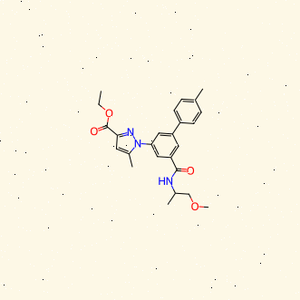 CCOC(=O)c1cc(C)n(-c2cc(C(=O)NC(C)COC)cc(-c3ccc(C)cc3)c2)n1